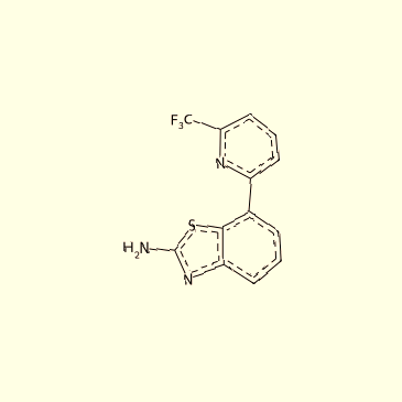 Nc1nc2cccc(-c3cccc(C(F)(F)F)n3)c2s1